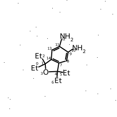 CCC1(CC)OC(CC)(CC)c2cc(N)c(N)cc21